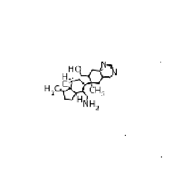 C=C1CC[C@H]2C(CN)C(C3(C)Cc4cncnc4CC3CO)CC[C@]12C